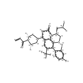 C=CC(=O)N1[C@H](C)CN(c2nc(=O)n3c4c(c(-c5ccc(F)cc5F)c(C(F)(F)F)cc24)SC[C@@H]3CN(C)C)C[C@@H]1C